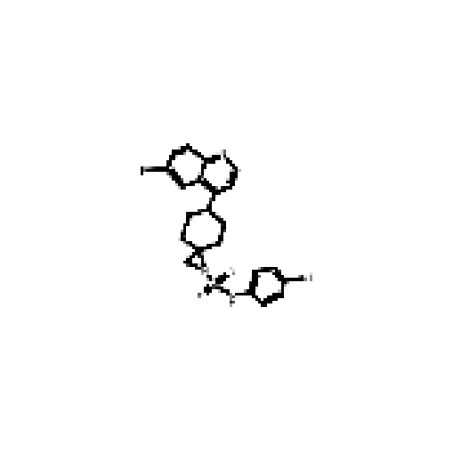 O=S(=O)(Nc1ccc(Cl)cc1)N1CC12CCC(c1ccnc3ccc(F)cc13)CC2